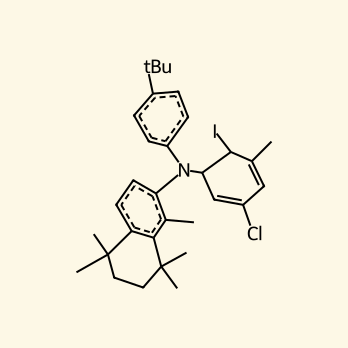 CC1=CC(Cl)=CC(N(c2ccc(C(C)(C)C)cc2)c2ccc3c(c2C)C(C)(C)CCC3(C)C)C1I